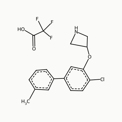 Cc1cccc(-c2ccc(Cl)c(OC3CNC3)c2)c1.O=C(O)C(F)(F)F